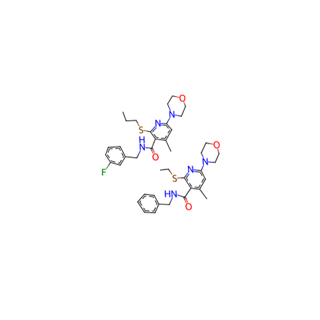 CCCSc1nc(N2CCOCC2)cc(C)c1C(=O)NCc1cccc(F)c1.CCSc1nc(N2CCOCC2)cc(C)c1C(=O)NCc1ccccc1